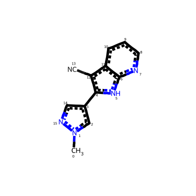 Cn1cc(-c2[nH]c3ncccc3c2C#N)cn1